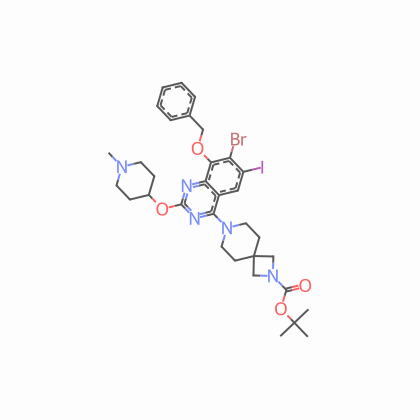 CN1CCC(Oc2nc(N3CCC4(CC3)CN(C(=O)OC(C)(C)C)C4)c3cc(I)c(Br)c(OCc4ccccc4)c3n2)CC1